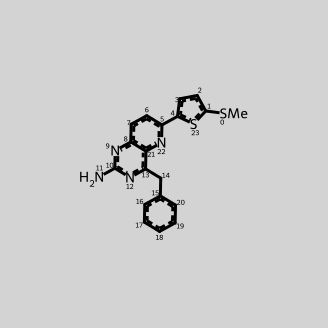 CSc1ccc(-c2ccc3nc(N)nc(Cc4ccccc4)c3n2)s1